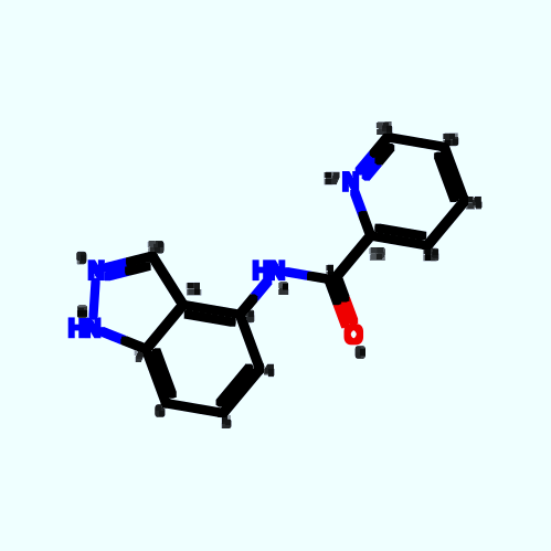 O=C(Nc1cccc2[nH]ncc12)c1ccccn1